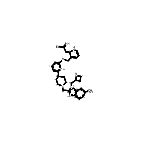 CCC(=N)/C=C1\NC=CC=C1COc1cccc(C2CCN(Cc3nc4ccc(C)cc4n3CC3CCO3)CC2)n1